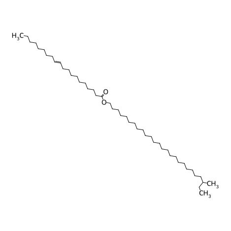 CCCCCCCCC=CCCCCCCCCCC(=O)OCCCCCCCCCCCCCCCCCCCCCCCC(C)CC